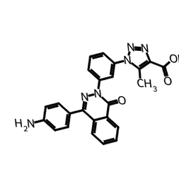 Cc1c(C(=O)O)nnn1-c1cccc(-n2nc(-c3ccc(N)cc3)c3ccccc3c2=O)c1